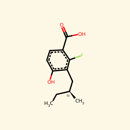 CC[C@H](C)Cc1c(O)ccc(C(=O)O)c1F